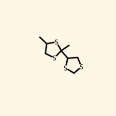 CC1CSC(C)(C2CSCS2)S1